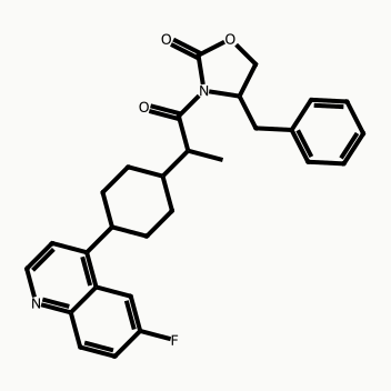 CC(C(=O)N1C(=O)OCC1Cc1ccccc1)C1CCC(c2ccnc3ccc(F)cc23)CC1